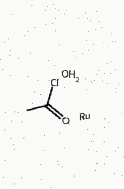 CC(=O)Cl.O.[Ru]